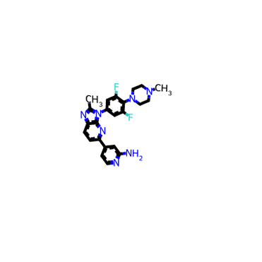 Cc1nc2ccc(-c3ccnc(N)c3)nc2n1-c1cc(F)c(N2CCN(C)CC2)c(F)c1